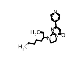 C=CC(CCCCC)N1CCn2c1nc(-c1ccncc1)cc2=O